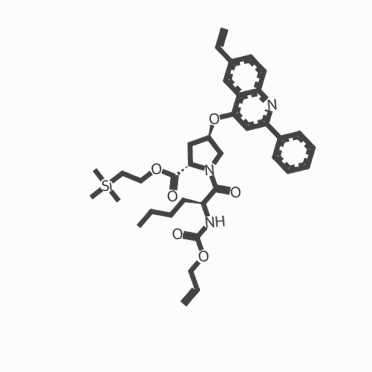 C=CCOC(=O)N[C@@H](CCCC)C(=O)N1C[C@H](Oc2cc(-c3ccccc3)nc3ccc(C=C)cc23)C[C@H]1C(=O)OCC[Si](C)(C)C